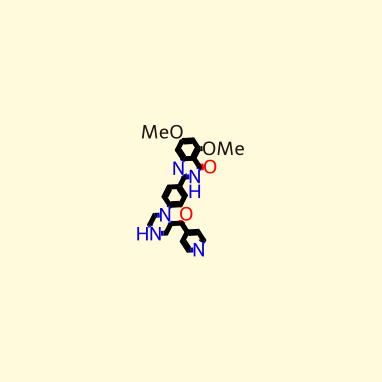 COc1cc(OC)c2c(=O)[nH]c(-c3ccc(N4CCNCC4C(=O)c4ccncc4)cc3)nc2c1